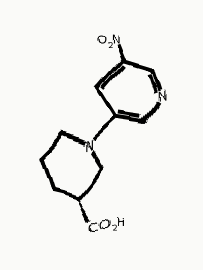 O=C(O)[C@H]1CCCN(c2cncc([N+](=O)[O-])c2)C1